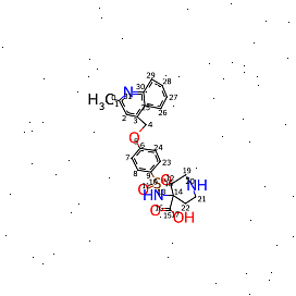 Cc1cc(COc2ccc(S(=O)(=O)NC3(C(=O)O)CCNCC3)cc2)c2ccccc2n1